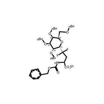 CCCCOC[C@H]1O[C@H](C(F)(F)CC(NC(=O)OCc2ccccc2)C(=O)OCC)[C@H](OCCCC)[C@@H](OCCCC)[C@H]1OCCCC